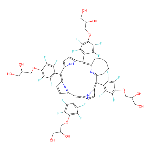 OCC(O)COc1c(F)c(F)c(-c2c3nc(c(-c4c(F)c(F)c(OCC(O)CO)c(F)c4F)c4ccc([nH]4)c(-c4c(F)c(F)c(OCC(O)CO)c(F)c4F)c4nc(c(-c5c(F)c(F)c(OCC(O)CO)c(F)c5F)c5ccc2[nH]5)CCCCC4)C=C3)c(F)c1F